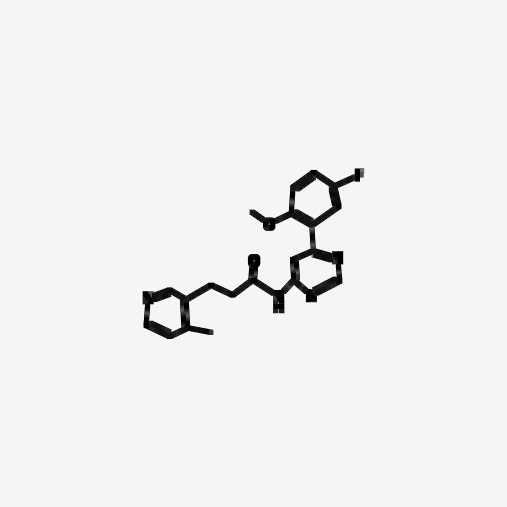 COc1ccc(F)cc1-c1cc(NC(=O)CCc2cnccc2C)ncn1